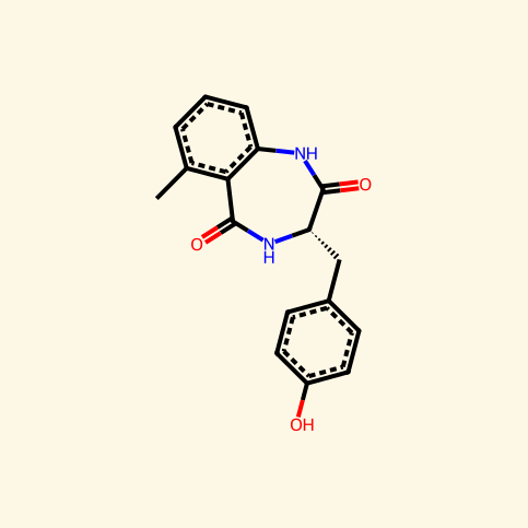 Cc1cccc2c1C(=O)N[C@@H](Cc1ccc(O)cc1)C(=O)N2